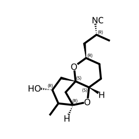 [C-]#[N+][C@H](C)C[C@H]1CC[C@@H]2O[C@@H]3C[C@]2(C[C@@H](O)C3C)O1